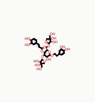 O=C(/C=C/c1ccc(O)c(O)c1)O[C@H]1[C@H](O[C@@H]2OC[C@](O)(CO)[C@H]2O)[C@@H](O)[C@H](OCCc2ccc(O)c(O)c2)O[C@@H]1CO[C@@H]1OC[C@](O)(CO)[C@H]1O